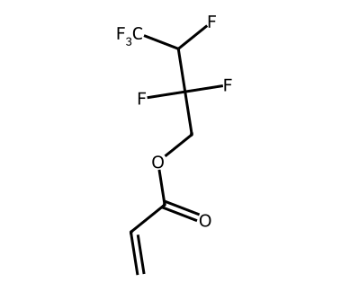 C=CC(=O)OCC(F)(F)C(F)C(F)(F)F